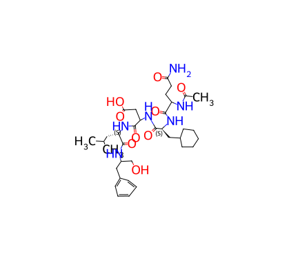 CC(=O)NC(CCC(N)=O)C(=O)N[C@@H](CC1CCCCC1)C(=O)NC(CC(=O)O)C(=O)N[C@@H](CC(C)C)C(=O)NC(CO)Cc1ccccc1